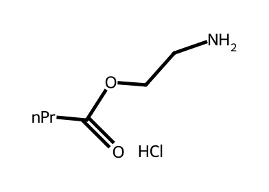 CCCC(=O)OCCN.Cl